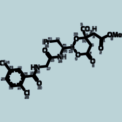 COC(=O)C[C@]1(C(=O)O)CC(=O)OB([C@H](CC(C)C)NC(=O)CNC(=O)c2cc(Cl)ccc2Cl)O1